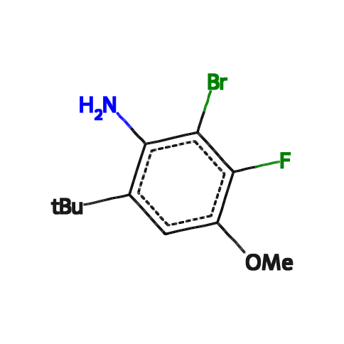 COc1cc(C(C)(C)C)c(N)c(Br)c1F